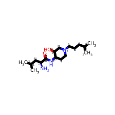 CC(C)CCCN1CCC(NC(=O)[C@@H](N)CC(C)C)C(O)C1